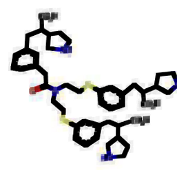 O=C(O)C(Cc1cccc(CC(=O)N(CCSc2cccc(CC(C(=O)O)C3CCNC3)c2)CCSc2cccc(CC(C(=O)O)C3CCNC3)c2)c1)C1CCNC1